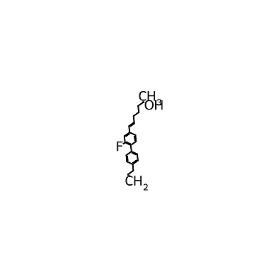 C=CCc1ccc(-c2ccc(C=CCCCC(C)O)cc2F)cc1